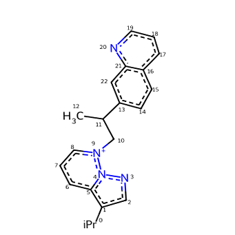 CC(C)c1cnn2c1ccc[n+]2CC(C)c1ccc2cccnc2c1